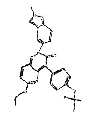 CCOc1ccc2cn(-c3ccc4nn(C)cc4c3)c(=O)c(-c3ccc(OC(F)(F)F)cc3)c2n1